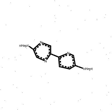 CCCCCCCc1ccc(-c2cnc(CCCCCCC)cn2)nc1